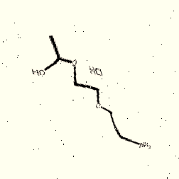 CC(O)OCCOCCN.Cl